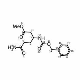 COC(=O)CC(CCC(N)=O)NC(=O)OCc1ccccc1